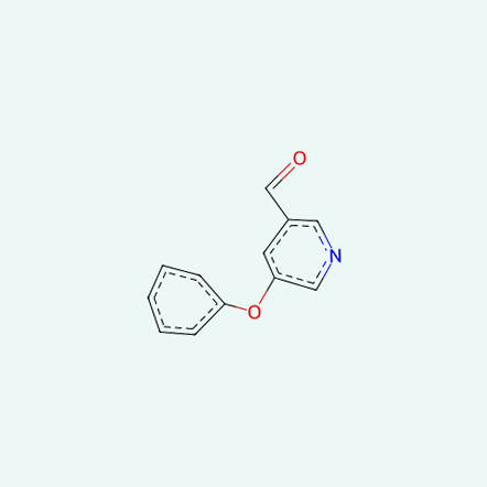 O=Cc1cncc(Oc2ccccc2)c1